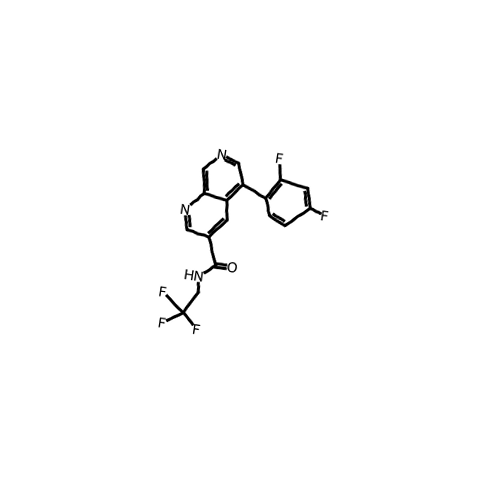 O=C(NCC(F)(F)F)c1cnc2cncc(-c3ccc(F)cc3F)c2c1